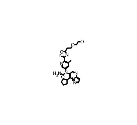 Cc1cc(N(C(N)=O)c2cnc3ccnn3c2C2CCCC2)cnc1-c1noc(CCOCC=O)n1